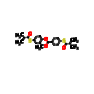 C=C(C)C(=O)Sc1ccc(C(=O)Oc2ccc(SC(=O)C(=C)C)cc2C)cc1